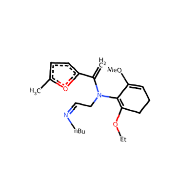 C=C(c1ccc(C)o1)N(C/C=N\CCCC)C1=C(OCC)CCC=C1OC